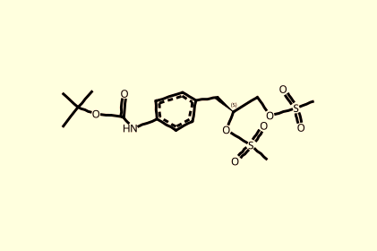 CC(C)(C)OC(=O)Nc1ccc(C[C@@H](COS(C)(=O)=O)OS(C)(=O)=O)cc1